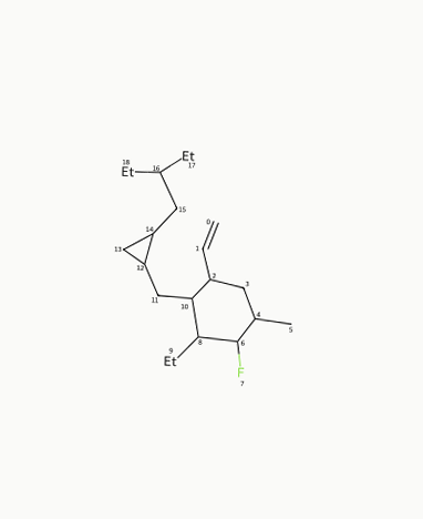 C=CC1CC(C)C(F)C(CC)C1CC1CC1CC(CC)CC